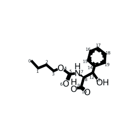 CCCCOC(=O)N[C@H](C(=O)O)C(O)c1ccccc1